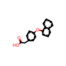 O=C(O)Cc1ccc(Oc2cccc3ccccc23)cc1